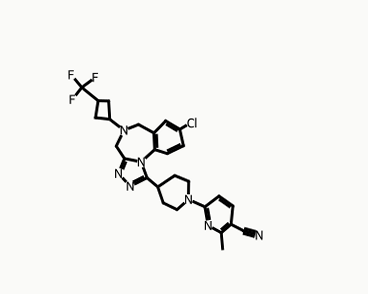 Cc1nc(N2CCC(c3nnc4n3-c3ccc(Cl)cc3CN(C3CC(C(F)(F)F)C3)C4)CC2)ccc1C#N